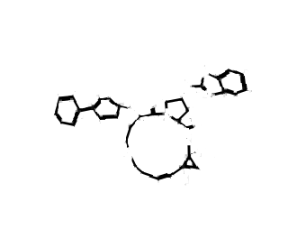 O=C1N[C@]2(C(=O)O)C[C@H]2/C=C\CCCCC[C@H](Nc2ccc(-c3ccccc3)cc2)C(=O)N2C[C@H](Oc3nc4ccccc4s3)C[C@@H]12